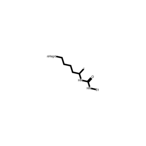 CCCCCCCCCCCC(I)NC(=O)NCC